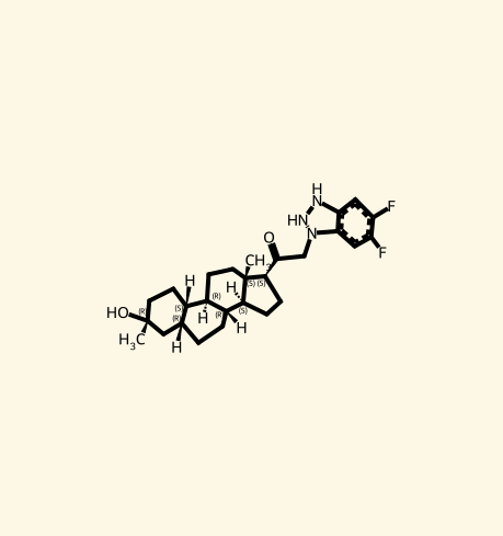 C[C@@]1(O)CC[C@H]2[C@H](CC[C@@H]3[C@@H]2CC[C@]2(C)[C@@H](C(=O)CN4NNc5cc(F)c(F)cc54)CC[C@@H]32)C1